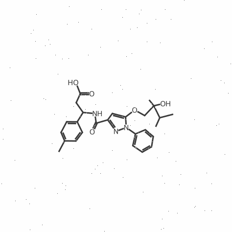 Cc1ccc(C(CC(=O)O)NC(=O)c2cc(OCC(C)(O)C(C)C)n(-c3ccccc3)n2)cc1